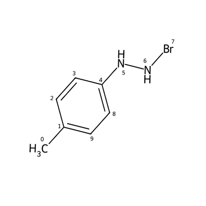 Cc1ccc(NNBr)cc1